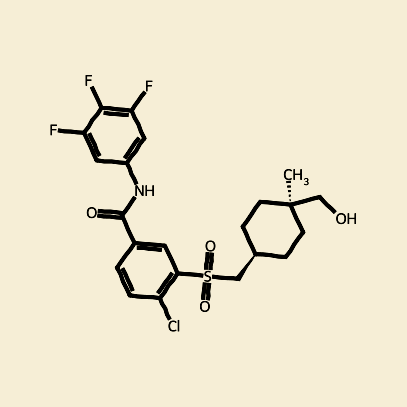 C[C@]1(CO)CC[C@@H](CS(=O)(=O)c2cc(C(=O)Nc3cc(F)c(F)c(F)c3)ccc2Cl)CC1